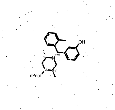 CCCCCN1C[C@H](C)N([C@@H](c2cccc(O)c2)c2ccccc2C)C[C@H]1C